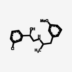 COc1cccc(CC(C)NC[C@H](O)c2cccc(Cl)c2)c1